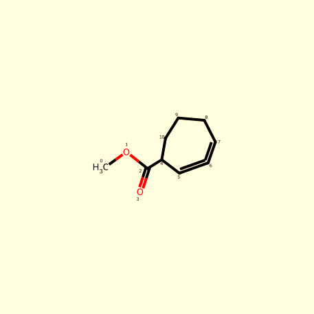 COC(=O)C1C=C=CCCC1